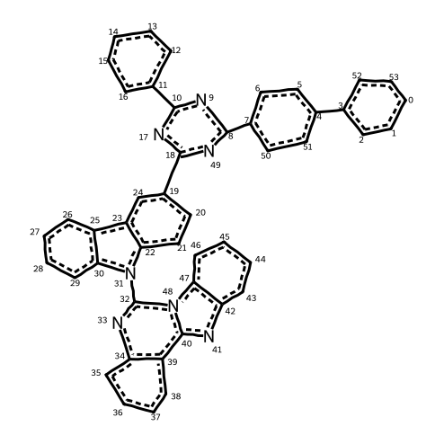 c1ccc(-c2ccc(-c3nc(-c4ccccc4)nc(-c4ccc5c(c4)c4ccccc4n5-c4nc5ccccc5c5nc6ccccc6n45)n3)cc2)cc1